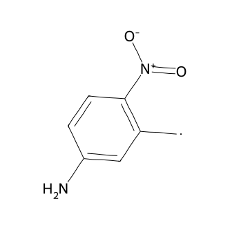 [CH2]c1cc(N)ccc1[N+](=O)[O-]